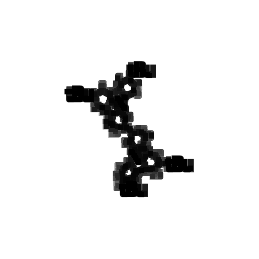 CC(C)(C)c1ccc2c(c1)c1cc(C(C)(C)C)cc3c4ccc(-c5ccc6c7cc(C(C)(C)C)cc8c9cc(C(C)(C)C)ccc9n(c6c5)c87)cc4n2c13